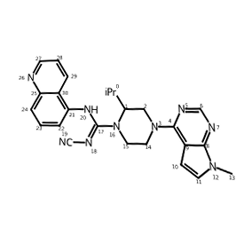 CC(C)C1CN(c2ncnc3c2ccn3C)CCN1/C(=N/C#N)Nc1cccc2ncccc12